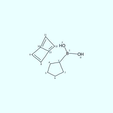 OB(O)C1CCCC1.c1cc2ccc1-2